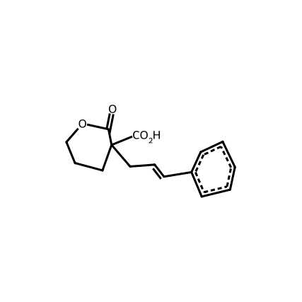 O=C(O)C1(CC=Cc2ccccc2)CCCOC1=O